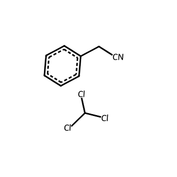 ClC(Cl)Cl.N#CCc1ccccc1